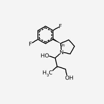 C[C](CO)C(O)N1CCC[C@@H]1c1cc(F)ccc1F